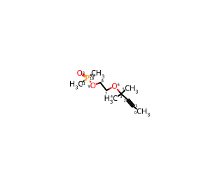 CC#CC(C)(C)OCCOP(C)(C)=O